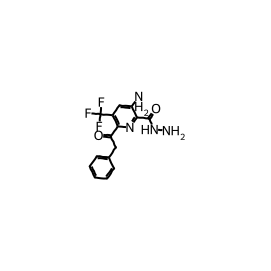 NNC(=O)c1nc(C(=O)Cc2ccccc2)c(C(F)(F)F)cc1N